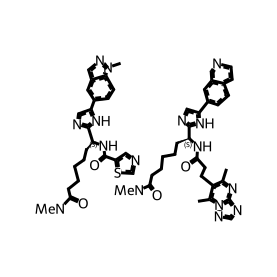 CNC(=O)CCCCC[C@H](NC(=O)CCc1c(C)nc2ncnn2c1C)c1ncc(-c2ccc3ccncc3c2)[nH]1.CNC(=O)CCCCC[C@H](NC(=O)c1cncs1)c1ncc(-c2ccc3c(cnn3C)c2)[nH]1